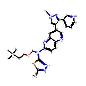 CC(C)c1nnc(N(COCC[Si](C)(C)C)c2ccc3ncc(-c4cn(C)nc4-c4cccnc4)cc3n2)s1